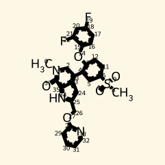 Cn1cc(-c2cc(S(C)(=O)=O)ccc2Oc2ccc(F)cc2F)c2cc(COc3ccccn3)[nH]c2c1=O